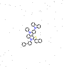 c1ccc(-c2cccc(N3c4cccc5c4B(c4ccc(-n6c7ccccc7c7ccccc76)cc4N5c4ccccc4)c4sc5c(ccc6ccccc65)c43)c2)cc1